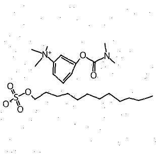 CCCCCCCCCCCCOS(=O)(=O)[O-].CN(C)C(=O)Oc1cccc([N+](C)(C)C)c1